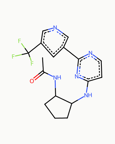 CC(=O)NC1CCCC1Nc1ccnc(-c2cncc(C(F)(F)F)c2)n1